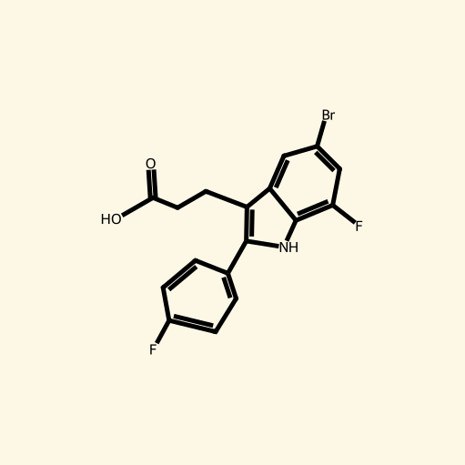 O=C(O)CCc1c(-c2ccc(F)cc2)[nH]c2c(F)cc(Br)cc12